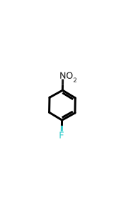 O=[N+]([O-])C1=CC=C(F)CC1